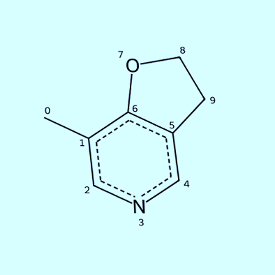 Cc1cncc2c1OCC2